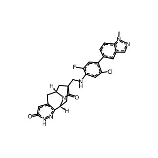 Cn1ncc2cc(-c3cc(F)c(NCC45C[C@H]6Cc7cc(=O)[nH]nc7[C@@H](C4)N6C5=O)cc3Cl)ccc21